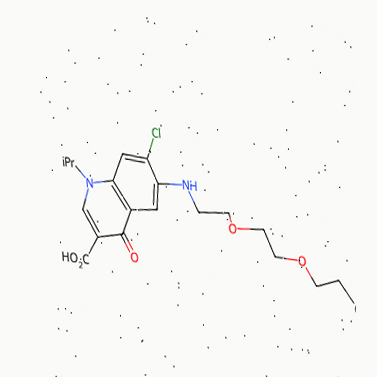 CC(C)n1cc(C(=O)O)c(=O)c2cc(NCCOCCOCCC#N)c(Cl)cc21